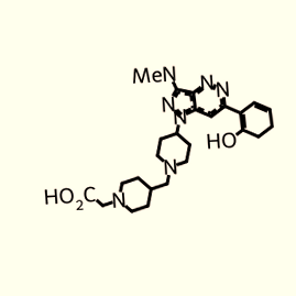 CNc1nn(C2CCN(CC3CCN(CC(=O)O)CC3)CC2)c2cc(C3=C(O)CCC=C3)nnc12